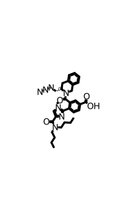 CCCCN(CCCC)C(=O)c1cn(C)c(-c2ccc(C(=O)O)cc2C(=O)N2Cc3ccccc3C[C@H]2CN=[N+]=[N-])n1